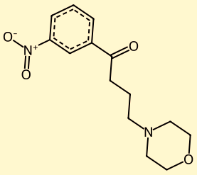 O=C(CCCN1CCOCC1)c1cccc([N+](=O)[O-])c1